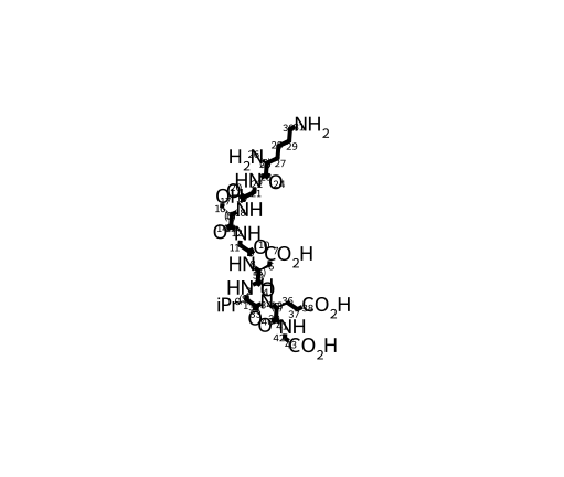 CC(C)[C@H](NC(=O)[C@H](CC(=O)O)NC(=O)CNC(=O)[C@H](CO)NC(=O)CNC(=O)[C@@H](N)CCCCN)C(=O)N[C@@H](CCC(=O)O)C(=O)NCC(=O)O